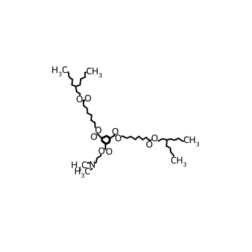 CCCCCC(CCCCC)CCOC(=O)CCCCCCCOC(=O)c1cc(C(=O)OCCCCCCCC(=O)OCCC(CCCCC)CCCCC)cc(C(=O)OCCCN(CC)CC)c1